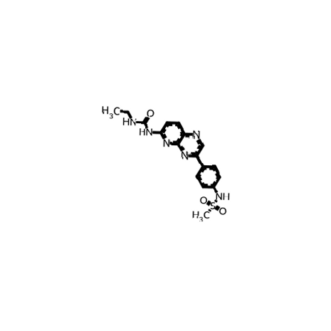 CCNC(=O)Nc1ccc2ncc(-c3ccc(NS(C)(=O)=O)cc3)nc2n1